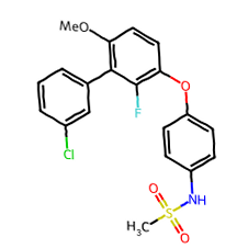 COc1ccc(Oc2ccc(NS(C)(=O)=O)cc2)c(F)c1-c1cccc(Cl)c1